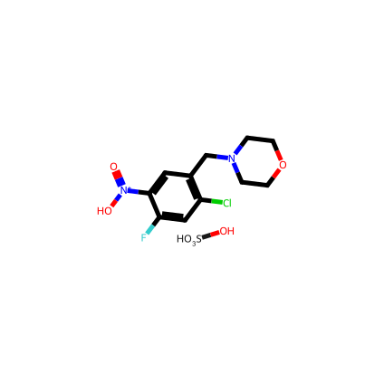 O=S(=O)(O)O.O=[N+](O)c1cc(CN2CCOCC2)c(Cl)cc1F